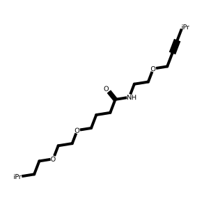 CC(C)C#CCOCCNC(=O)CCCOCCOCCC(C)C